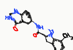 Cc1cccc2c1NC(C(=O)Nc1ccc3nc[nH]c(=O)c3c1)C2